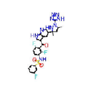 CC1=CC(C)(c2cnc3[nH]cc(C(=O)c4c(F)ccc(NS(=O)(=O)c5cccc(F)c5)c4F)c3c2)NN1c1nnn[nH]1